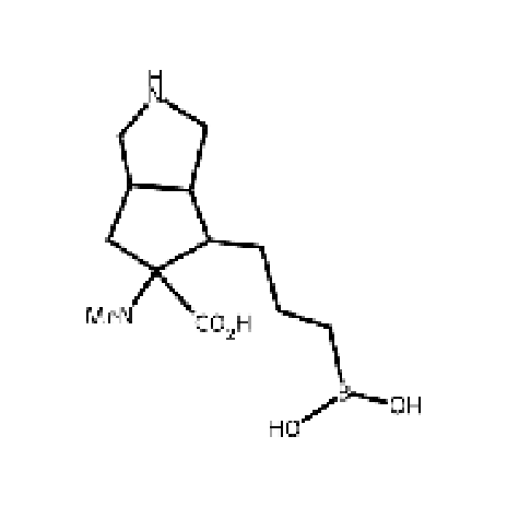 CNC1(C(=O)O)CC2CNCC2C1CCCB(O)O